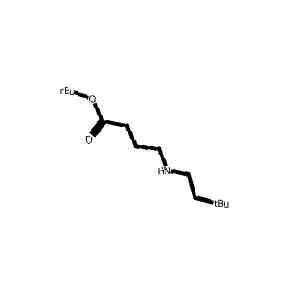 CCCCOC(=O)CCCNCCC(C)(C)C